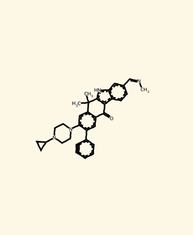 C/N=C\c1ccc2c3c([nH]c2c1)C(C)(C)c1cc(N2CCN(C4CC4)CC2)c(-c2c#cccc2)cc1C3=O